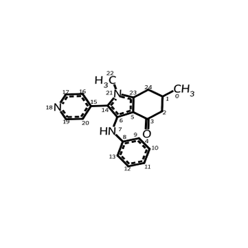 CC1CC(=O)c2c(Nc3ccccc3)c(-c3ccncc3)n(C)c2C1